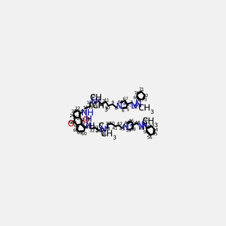 CN(/N=C/c1cc[n+](CCCCCC[N+](C)(C)CCCNc2cccc3c2C(=O)c2c(NCCC[N+](C)(C)CCCCCC[n+]4ccc(/C=N/N(C)c5ccccc5)cc4)cccc2C3=O)cc1)c1ccccc1